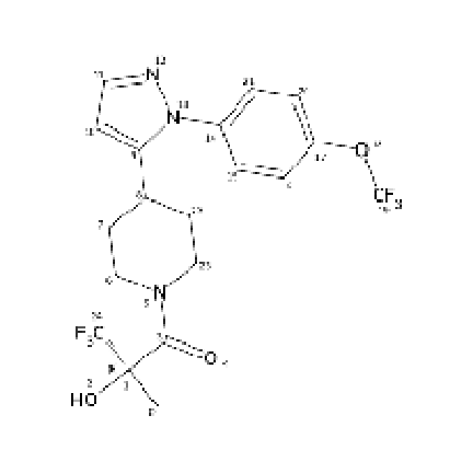 C[C@@](O)(C(=O)N1CCC(c2ccnn2-c2ccc(OC(F)(F)F)cc2)CC1)C(F)(F)F